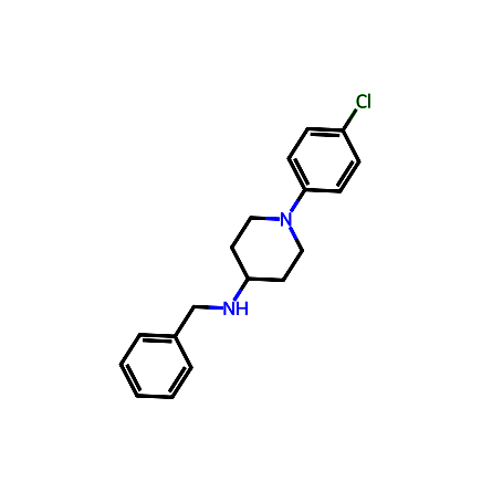 Clc1ccc(N2CCC(NCc3ccccc3)CC2)cc1